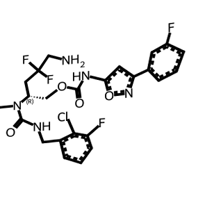 CN(C(=O)NCc1cccc(F)c1Cl)[C@@H](COC(=O)Nc1cc(-c2cccc(F)c2)no1)CC(F)(F)CN